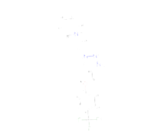 FC(F)(F)c1ccc(OCc2cn(CCN3CCCCC3)nn2)cc1